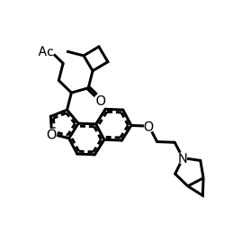 CC(=O)CCC(C(=O)C1CCC1C)c1coc2ccc3cc(OCCN4CC5CC5C4)ccc3c12